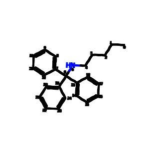 CCCCCNC(c1ccccc1)(c1ccccc1)c1ccccc1